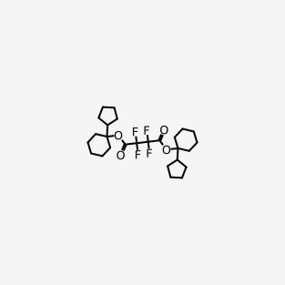 O=C(OC1(C2CCCC2)CCCCC1)C(F)(F)C(F)(F)C(=O)OC1(C2CCCC2)CCCCC1